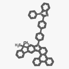 CC1(C)c2ccccc2-c2cc3c4c5c6ccccc6c6ccccc6c5ccc4n(-c4ccc(-c5ccc(-c6nc7ccccc7n6-c6ccccc6)cc5)cc4)c3cc21